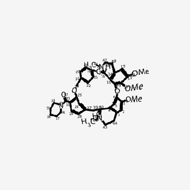 COc1cc2c3cc1Oc1c(OC)c(OC)cc4c1[C@H](Cc1ccc(cc1)Oc1cc(ccc1C(=O)N1CCCCC1)C[C@H]3N(C)CC2)N(C)CC4